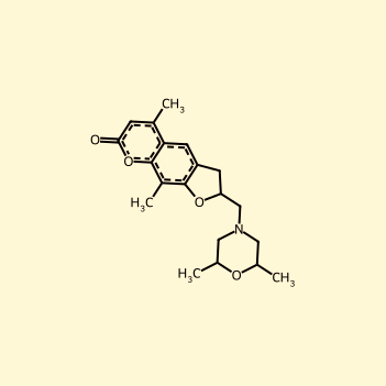 Cc1cc(=O)oc2c(C)c3c(cc12)CC(CN1CC(C)OC(C)C1)O3